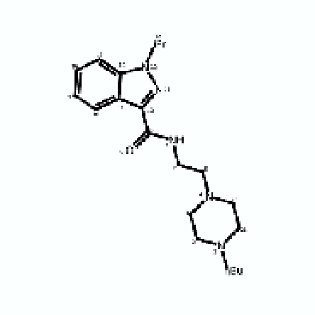 CCCCN1CCN(CCNC(=O)c2nn(C(C)C)c3ccccc23)CC1